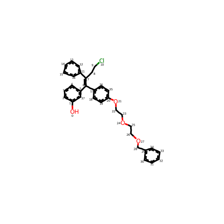 Oc1cccc(C(=C(CCCl)c2ccccc2)c2ccc(OCCOCCOCc3ccccc3)cc2)c1